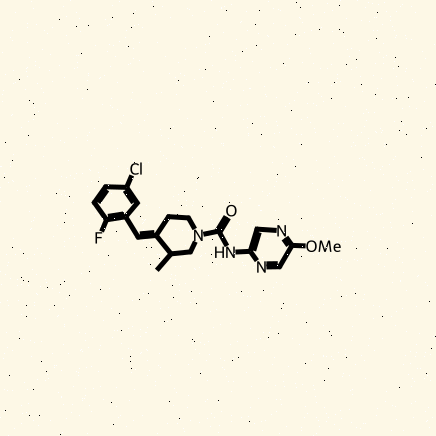 COc1cnc(NC(=O)N2CCC(=Cc3cc(Cl)ccc3F)C(C)C2)cn1